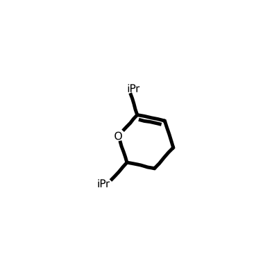 CC(C)C1=CCCC(C(C)C)O1